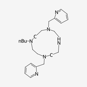 CCCCN1CCN(Cc2ccccn2)CCNCCN(Cc2ccccn2)CC1